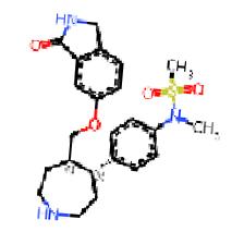 CN(c1ccc([C@@H]2CCNCC[C@H]2COc2ccc3c(c2)C(=O)NC3)cc1)S(C)(=O)=O